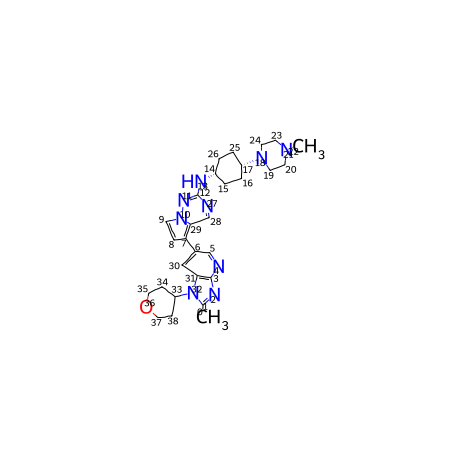 Cc1nc2ncc(-c3ccn4nc(N[C@H]5CC[C@@H](N6CCN(C)CC6)CC5)ncc34)cc2n1C1CCOCC1